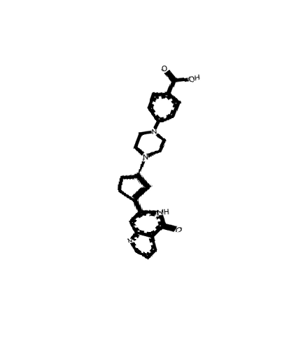 O=C(O)c1ccc(N2CCN([C@H]3C=C(c4cc5ncccc5c(=O)[nH]4)CC3)CC2)cc1